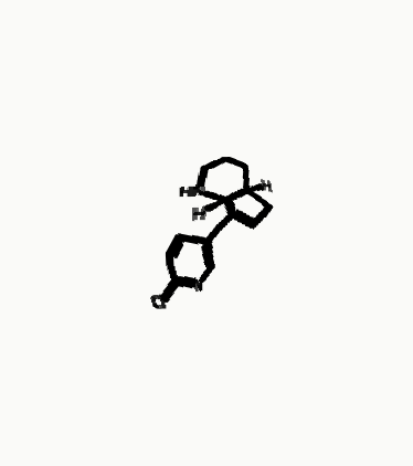 Clc1ccc(C2=CC[C@H]3CCCN[C@@H]23)cn1